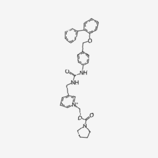 O=C(NCc1ccc[n+](COC(=O)N2CCCC2)c1)Nc1ccc(COc2ccccc2-c2ccccc2)cc1